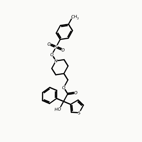 Cc1ccc(S(=O)(=O)ON2CCC(COC(=O)C(O)(c3ccccc3)c3ccsc3)CC2)cc1